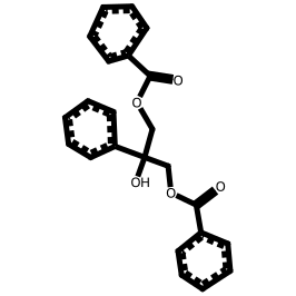 O=C(OCC(O)(COC(=O)c1ccccc1)c1ccccc1)c1ccccc1